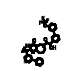 O=C(C(O)c1cccc(-c2cccc(OC(F)(F)F)c2)c1)N1CCCc2nc(C3(c4cncc(-c5ccccc5)c4)CC3)[nH]c(=O)c2C1